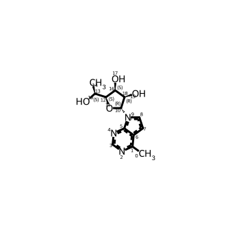 Cc1ncnc2c1ccn2[C@@H]1O[C@@H]([C@H](C)O)[C@@H](O)[C@H]1O